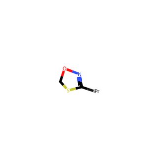 CC(C)C1=NOCS1